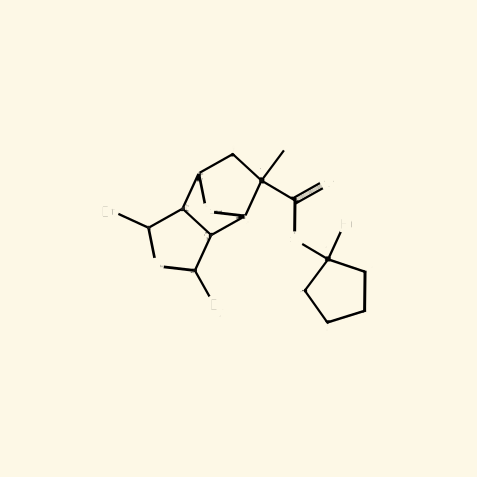 CCC1OC(CC)C2C1C1CC(C)(C(=O)OC3(CC)CCCC3)C2O1